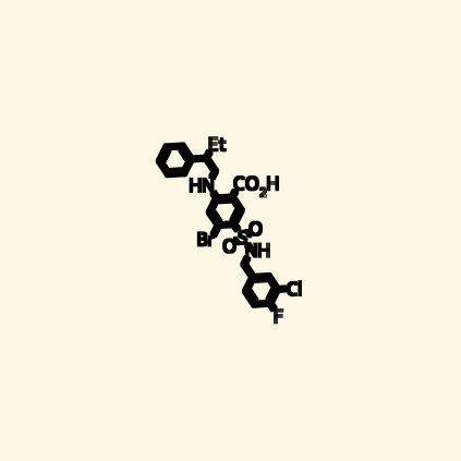 CCC(CNc1cc(Br)c(S(=O)(=O)NCc2ccc(F)c(Cl)c2)cc1C(=O)O)c1ccccc1